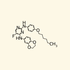 CCCCCCOc1ccc(Nc2ncc(F)c(Nc3ccc4c(c3)OCCO4)n2)cc1